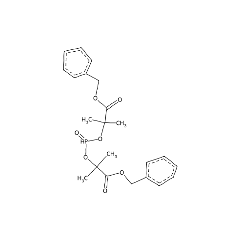 CC(C)(O[PH](=O)OC(C)(C)C(=O)OCc1ccccc1)C(=O)OCc1ccccc1